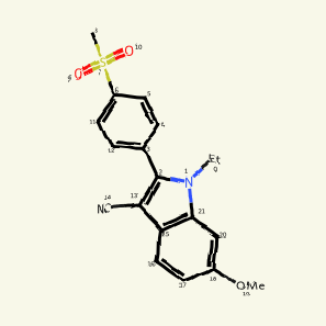 CCn1c(-c2ccc(S(C)(=O)=O)cc2)c(C#N)c2ccc(OC)cc21